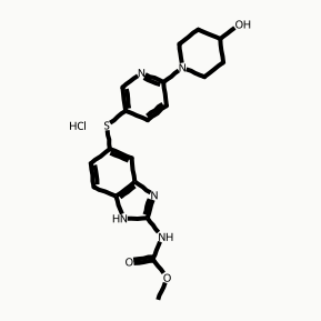 COC(=O)Nc1nc2cc(Sc3ccc(N4CCC(O)CC4)nc3)ccc2[nH]1.Cl